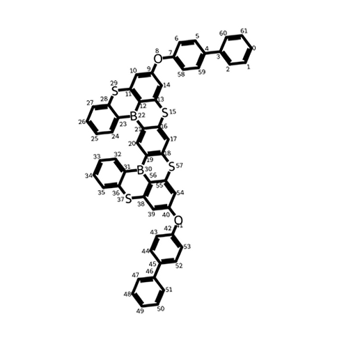 c1ccc(-c2ccc(Oc3cc4c5c(c3)Sc3cc6c(cc3B5c3ccccc3S4)B3c4ccccc4Sc4cc(Oc5ccc(-c7ccccc7)cc5)cc(c43)S6)cc2)cc1